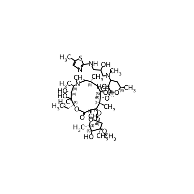 CC[C@H]1OC(=O)[C@H](C)[C@@H](O[C@H]2C[C@@](C)(OC)[C@@H](O)[C@H](C)O2)[C@H](C)[C@@H](O[C@@H]2O[C@H](C)CC(N(C)CC(O)CNc3ncc(C)s3)[C@H]2O)[C@](C)(O)C[C@@H](C)CN(C)[C@H](C)[C@@H](O)[C@]1(C)O